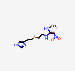 CN/C(=C/[N+](=O)[O-])NCCSCCc1c[nH]cn1